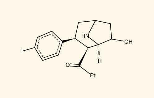 CCC(=O)[C@H]1[C@@H](c2ccc(I)cc2)CC2CC(O)[C@@H]1N2